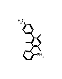 Cc1cc(C)c(-c2ccccc2P)c(C)c1-c1ccc(C(F)(F)F)cc1